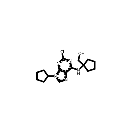 OCC1(Nc2nc(Cl)nc3c2ncn3C2CCCC2)CCCC1